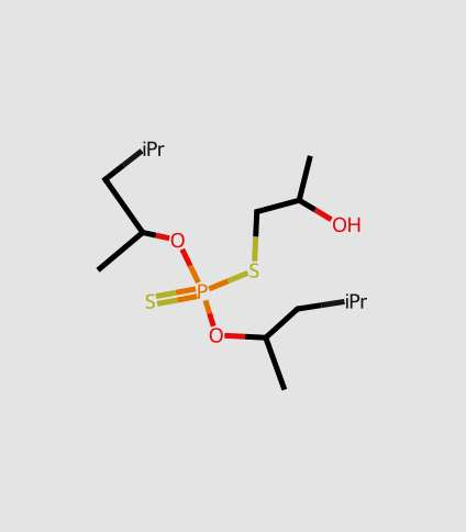 CC(C)CC(C)OP(=S)(OC(C)CC(C)C)SCC(C)O